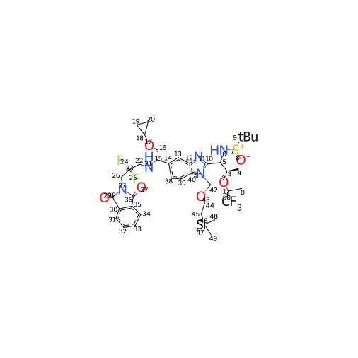 C[C@H](O[C@H](C)[C@H](N[S@+]([O-])C(C)(C)C)c1nc2cc([C@@H](COC3CC3)NCC(F)(F)CN3C(=O)c4ccccc4C3=O)ccc2n1COCC[Si](C)(C)C)C(F)(F)F